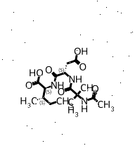 CC[C@H](C)[C@H](NC(=O)[C@H](CC(=O)O)NC(=O)C(C)(C)NC(C)=O)C(=O)O